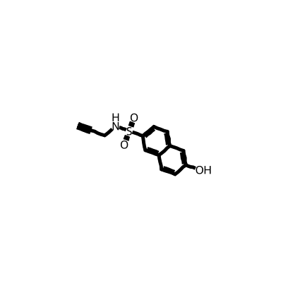 C#CCNS(=O)(=O)c1ccc2cc(O)ccc2c1